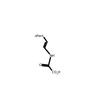 CCCCC/C=C/NC(=O)C(=O)O